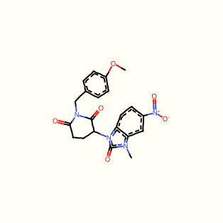 COc1ccc(CN2C(=O)CCC(n3c(=O)n(C)c4cc([N+](=O)[O-])ccc43)C2=O)cc1